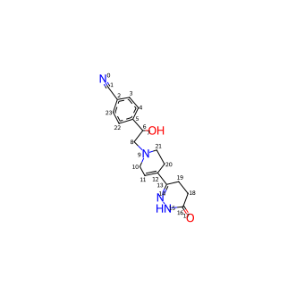 N#Cc1ccc(C(O)CN2CC=C(C3=NNC(=O)CC3)CC2)cc1